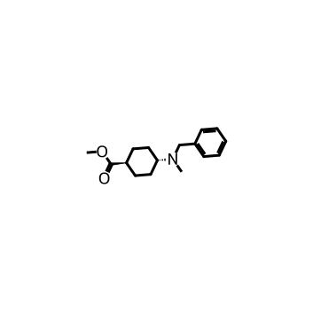 COC(=O)[C@H]1CC[C@H](N(C)Cc2ccccc2)CC1